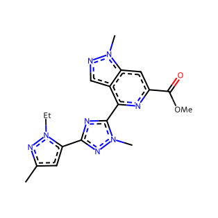 CCn1nc(C)cc1-c1nc(-c2nc(C(=O)OC)cc3c2cnn3C)n(C)n1